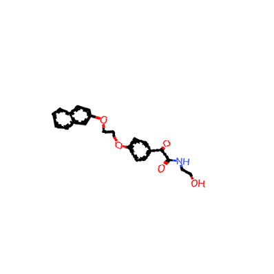 O=C(NCCO)C(=O)c1ccc(OCCOc2ccc3ccccc3c2)cc1